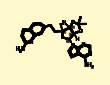 CC1(C)O[C@H]2[C@H](n3ccc4c(N)ncnc43)C[C@](C)(CCc3ccc4ccc(N)nc4c3)[C@H]2O1